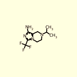 CC(C)N1CCn2c(C(F)(F)F)nc(N)c2C1